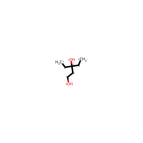 [CH2]CC(O)(CC)CCO